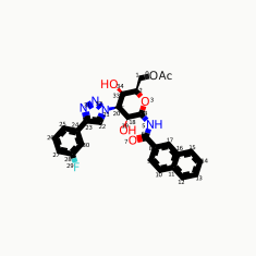 CC(=O)OC[C@H]1OC(NC(=O)c2ccc3ccccc3c2)[C@H](O)[C@@H](n2cc(-c3cccc(F)c3)nn2)[C@H]1O